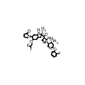 CC1CC(Oc2ccccc2F)=NCC1N1N=CC(C(=O)C2(C)CC3=CC(OCC(F)F)C(N4CCCC4=O)CC3N2)C1N